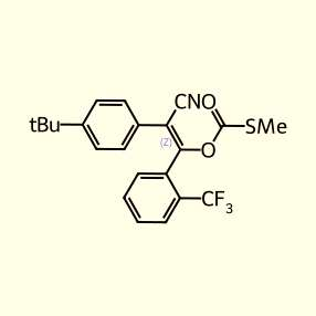 CSC(=O)O/C(=C(\C#N)c1ccc(C(C)(C)C)cc1)c1ccccc1C(F)(F)F